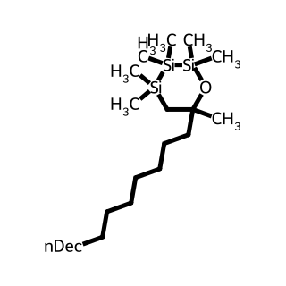 CCCCCCCCCCCCCCCCCC1(C)C[Si](C)(C)[Si](C)(C)[Si](C)(C)O1